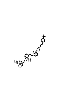 CCC(CC)(CCNc1cccc(C=Cc2cccc(COCCCCc3ccc(C(C)(C)C)cc3)n2)c1)C(=O)O